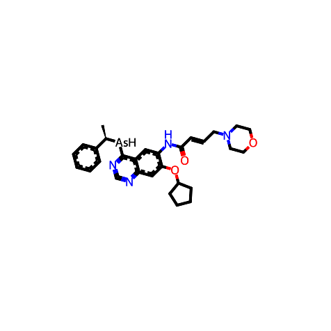 C[C@@H]([AsH]c1ncnc2cc(OC3CCCC3)c(NC(=O)C=CCN3CCOCC3)cc12)c1ccccc1